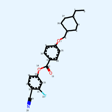 CCC1CCC(COc2ccc(C(=O)Oc3ccc(C#N)c(F)c3)cc2)CC1